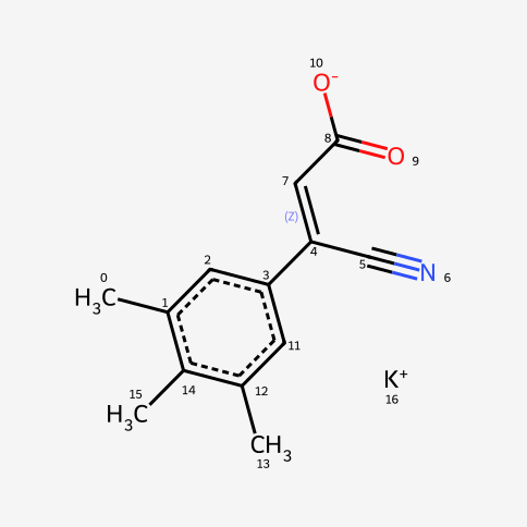 Cc1cc(/C(C#N)=C/C(=O)[O-])cc(C)c1C.[K+]